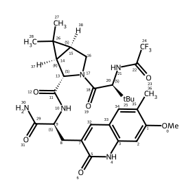 COc1cc2[nH]c(=O)c(C[C@H](NC(=O)[C@@H]3[C@@H]4[C@H](CN3C(=O)[C@@H](NC(=O)C(F)(F)F)C(C)(C)C)C4(C)C)C(N)=O)cc2cc1C